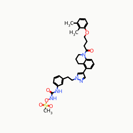 Cc1cccc(OCCCC(=O)N2CCCc3c(-c4cnn(CCc5cccc(NC(=O)NOS(C)(=O)=O)c5)c4)cccc32)c1C